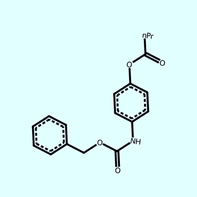 CCCC(=O)Oc1ccc(NC(=O)OCc2ccccc2)cc1